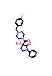 O=C(N1CCN(Cc2ccc(Cl)cc2)CC1)[C@@]1(O)CCN(c2ccccc2)C1=O